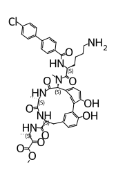 COC(=O)C(=O)[C@H](C)NC(=O)[C@@H]1Cc2ccc(O)c(c2)-c2cc(ccc2O)[C@H](N(C)C(=O)[C@H](CCCCN)NC(=O)c2ccc(-c3ccc(Cl)cc3)cc2)C(=O)N[C@@H](C)C(=O)N1